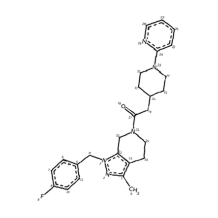 Cc1nn(Cc2ccc(F)cc2)c2c1CCN(C(=O)CC1CCN(c3ccccn3)CC1)C2